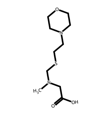 CN(CSCCN1CCOCC1)CC(=O)O